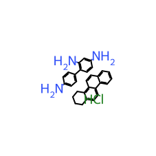 Cl.Nc1ccc(-c2ccc(N)cc2N)cc1.c1ccc2c(c1)ccc1c3c(ccc12)CCCC3